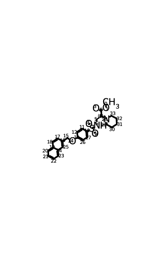 COC(=O)[C@H](CNS(=O)(=O)c1ccc(OCc2ccc3ccccc3c2)cc1)N1CCCCC1